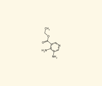 CCOC(=O)c1cncc(N)c1N